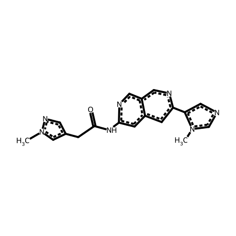 Cn1cc(CC(=O)Nc2cc3cc(-c4cncn4C)ncc3cn2)cn1